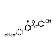 CCCCCC[C@H]1CC[C@H](c2ccc(C(=O)Oc3ccc(C#N)cc3)c(F)c2)CC1